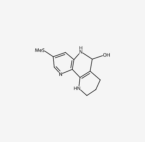 CSc1cnc2c(c1)NC(O)C1=C2NCCC1